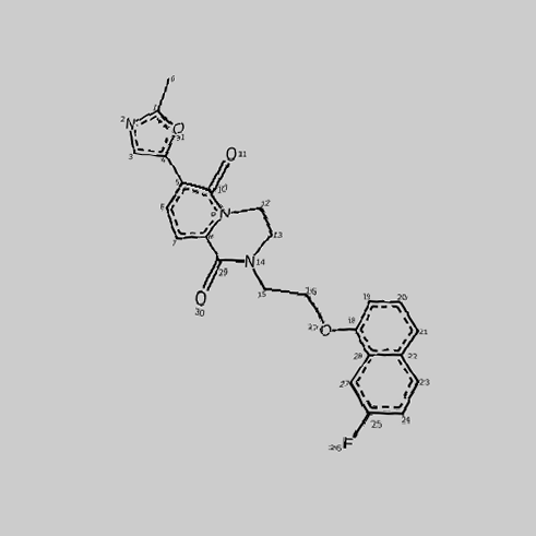 Cc1ncc(-c2ccc3n(c2=O)CCN(CCOc2cccc4ccc(F)cc24)C3=O)o1